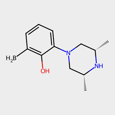 Bc1cccc(N2C[C@@H](C)N[C@@H](C)C2)c1O